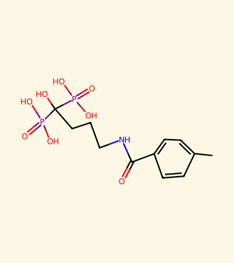 Cc1ccc(C(=O)NCCCC(O)(P(=O)(O)O)P(=O)(O)O)cc1